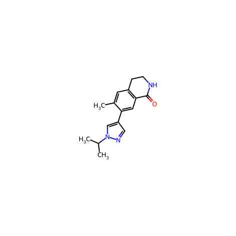 Cc1cc2c(cc1-c1cnn(C(C)C)c1)C(=O)NCC2